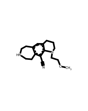 COCCN1CCCc2cc3c(c(C#N)c21)CCNCC3